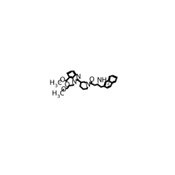 COCCCn1c(C2CCCN(C(=O)C[C@H](N)Cc3ccc4ccccc4c3)C2)nc2cccc(C(=O)OC)c21